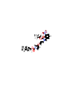 CC(C)(C)OC(=O)N(CCCOC1CCN(C(=O)OCC[Si](C)(C)C)C1)Cc1cccc([N+](=O)[O-])c1